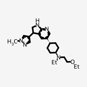 CCOCCN(CC)[C@H]1CC[C@H](c2cnc3c(c2)C(c2cnn(C)c2)CN3)CC1